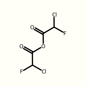 O=C(OC(=O)C(F)Cl)C(F)Cl